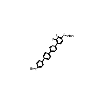 CCCCCCCCCOc1ccc(-c2ccc(-c3ccc(-c4ccc(OCC)cc4)cc3)cc2)c(F)c1F